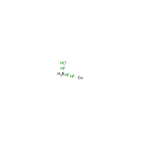 B.Cl.F.F.F.[Cu]